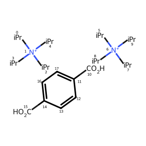 CC(C)[N+](C(C)C)(C(C)C)C(C)C.CC(C)[N+](C(C)C)(C(C)C)C(C)C.O=C(O)c1ccc(C(=O)O)cc1